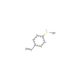 C=Cc1ccc(SCCC)cc1